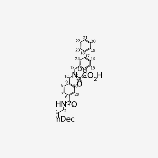 CCCCCCCCCCCCNC(=O)c1ccc(CN(Cc2cccc(-c3ccccc3)c2)C(=O)C(=O)O)cc1